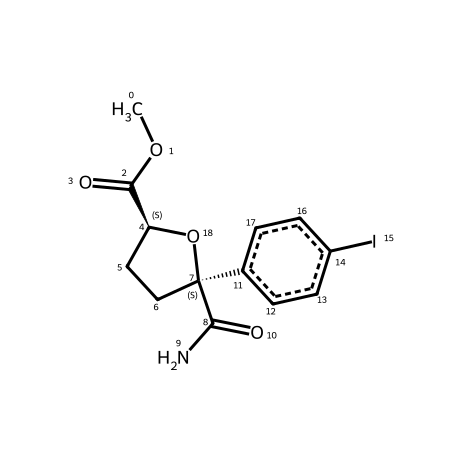 COC(=O)[C@@H]1CC[C@@](C(N)=O)(c2ccc(I)cc2)O1